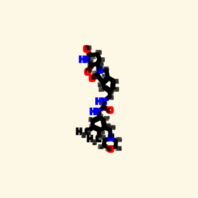 Cc1cc(NC(=O)NCc2ccc3c(c2)C(=O)N(C2CCC(=O)NC2=O)C3)cc(CN2CCOCC2)c1C